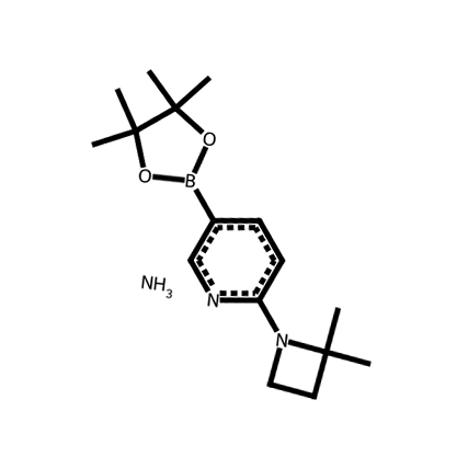 CC1(C)CCN1c1ccc(B2OC(C)(C)C(C)(C)O2)cn1.N